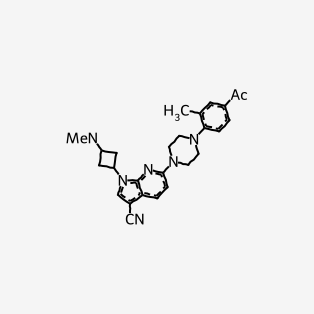 CNC1CC(n2cc(C#N)c3ccc(N4CCN(c5ccc(C(C)=O)cc5C)CC4)nc32)C1